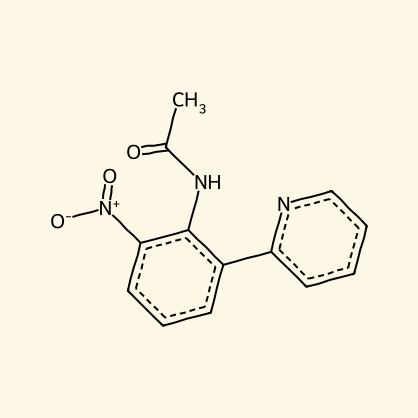 CC(=O)Nc1c(-c2ccccn2)cccc1[N+](=O)[O-]